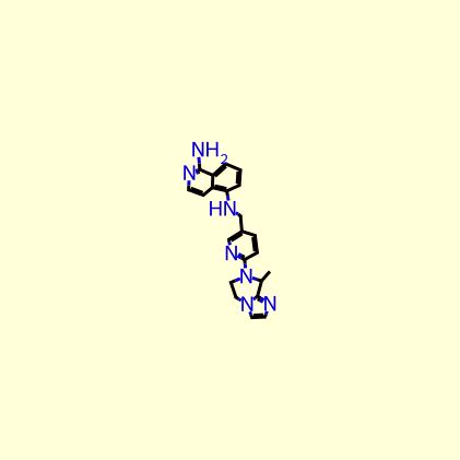 CC1c2nccn2CCN1c1ccc(CNc2cccc3c(N)nccc23)cn1